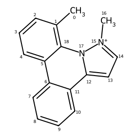 Cc1cccc2c3ccccc3c3cc[n+](C)n3c12